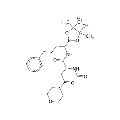 CC1(C)OB(C(CCCc2ccccc2)NC(=O)C(CC(=O)N2CCOCC2)NC=O)OC1(C)C